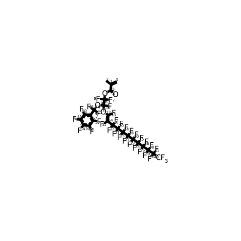 C=C(C)C(=O)OC(F)(F)C(F)(OC(F)=C(F)C(F)(F)C(F)(F)C(F)(F)C(F)(F)C(F)(F)C(F)(F)C(F)(F)C(F)(F)C(F)(F)C(F)(F)F)OC(F)(F)c1c(F)c(F)c(F)c(F)c1F